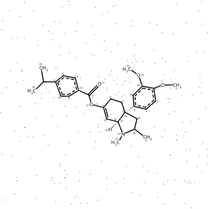 COc1ccc([C@@]23CCC(OC(=O)c4ccc(C(C)C)cc4)=C[C@@H]2N(C)C(C)C3)cc1OC